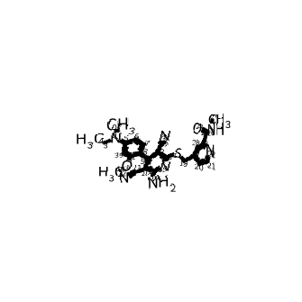 CCN(CC)c1ccc(-c2c(C#N)c(N)nc(SCc3ccnc(C(=O)NC)c3)c2C#N)c(OC)c1